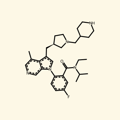 CCN(C(=O)c1cc(F)ccc1-n1cc(C[C@H]2CCN(CC3CCNCC3)C2)c2c(C)cncc21)C(C)C